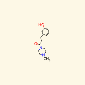 CN1CCN(C(=O)CCc2cccc(O)c2)CC1